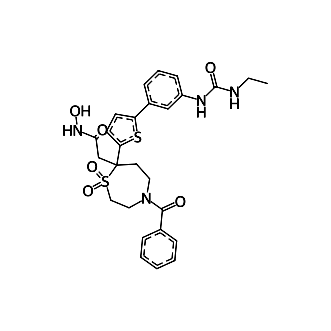 CCNC(=O)Nc1cccc(-c2ccc(C3(CC(=O)NO)CCN(C(=O)c4ccccc4)CCS3(=O)=O)s2)c1